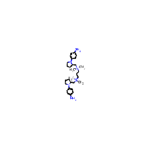 C[N+](C)(CCC[N+](C)(C)CC1CCCN1c1ccc(N)cc1)CC1CCCN1c1ccc(N)cc1